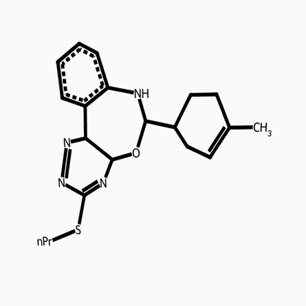 CCCSC1=NC2OC(C3CC=C(C)CC3)Nc3ccccc3C2N=N1